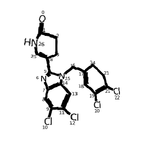 O=C1CCC(c2nc3cc(Cl)c(Cl)cc3n2CC2=CC(Cl)=C(Cl)CC2)=CN1